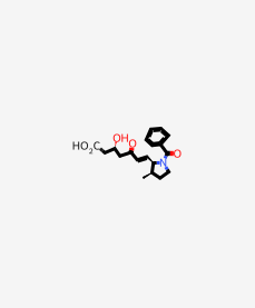 C[C@@H]1CCN(C(=O)c2ccccc2)[C@@H]1/C=C/C(=O)C[C@@H](O)CC(=O)O